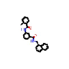 Cc1ccccc1C(=O)Nc1cccc(C(=O)NCc2cccc3ccccc23)c1